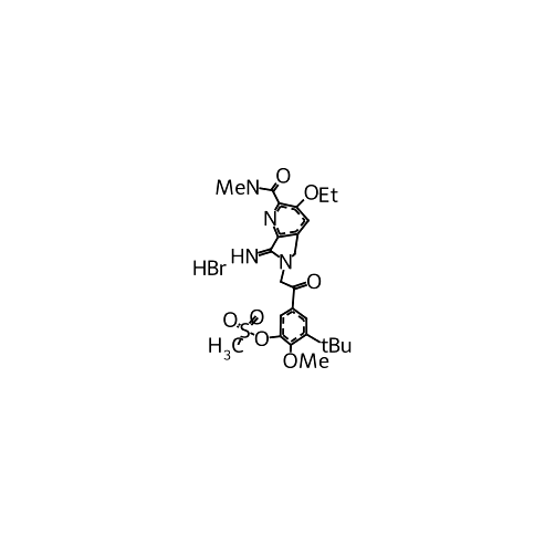 Br.CCOc1cc2c(nc1C(=O)NC)C(=N)N(CC(=O)c1cc(OS(C)(=O)=O)c(OC)c(C(C)(C)C)c1)C2